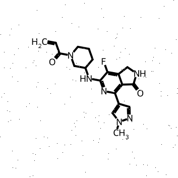 C=CC(=O)N1CCCC(Nc2nc(-c3cnn(C)c3)c3c(c2F)CNC3=O)C1